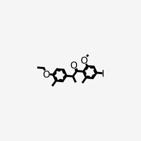 CCOc1ccc(C(C)C(=O)c2c(C)cc(I)cc2OC)cc1C